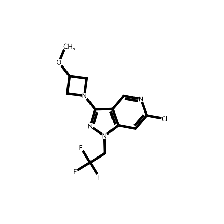 COC1CN(c2nn(CC(F)(F)F)c3cc(Cl)ncc23)C1